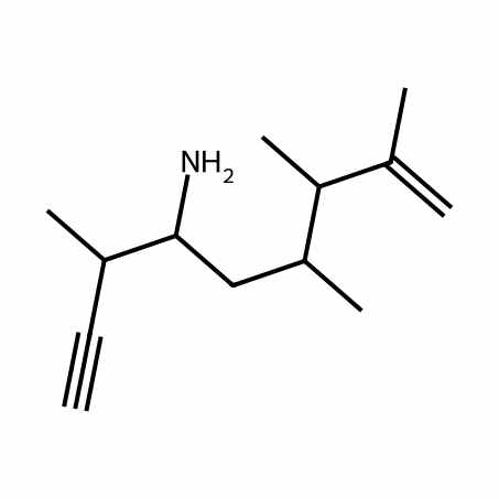 C#CC(C)C(N)CC(C)C(C)C(=C)C